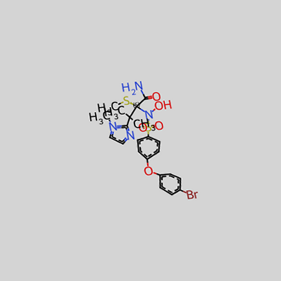 CS[C@@](C(N)=O)(N(O)S(=O)(=O)c1ccc(Oc2ccc(Br)cc2)cc1)C(C)(C)c1nccn1C